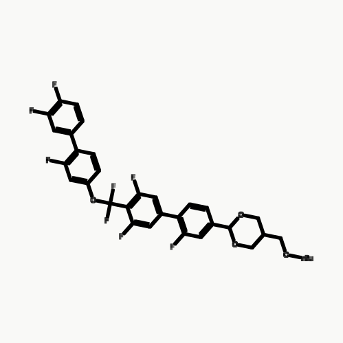 CCCCOCC1COC(c2ccc(-c3cc(F)c(C(F)(F)Oc4ccc(-c5ccc(F)c(F)c5)c(F)c4)c(F)c3)c(F)c2)OC1